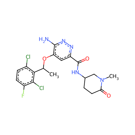 CC(Oc1cc(C(=O)NC2CCC(=O)N(C)C2)nnc1N)c1c(Cl)ccc(F)c1Cl